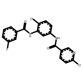 O=C(Nc1ccc(Cl)c(NC(=O)c2cccc(F)c2)c1)c1ccc(Cl)nc1